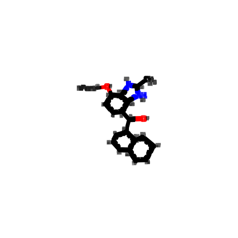 CCCCCOc1ccc(C(=O)c2cccc3ccccc23)c2[nH]c(C)nc12